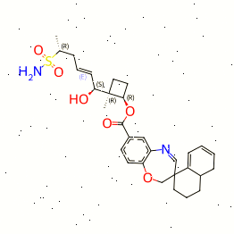 C[C@H](C/C=C/[C@H](O)[C@@]1(C)CC[C@H]1OC(=O)c1ccc2c(c1)N=CC1(CCCC3CC=CC=C31)CO2)S(N)(=O)=O